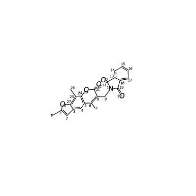 Cc1cc2cc3c(C)c(CN4C(=O)c5ccccc5C4=O)c(=O)oc3c(C)c2o1